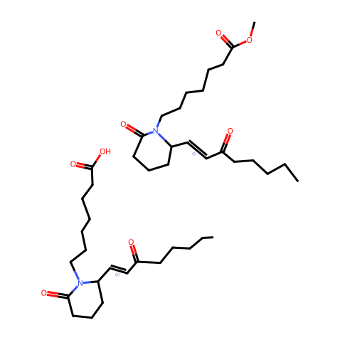 CCCCCC(=O)/C=C/C1CCCC(=O)N1CCCCCCC(=O)O.CCCCCC(=O)/C=C/C1CCCC(=O)N1CCCCCCC(=O)OC